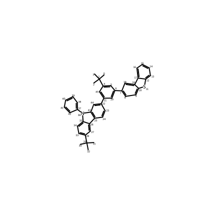 CC(C)(C)c1cc(-c2ccc3sc4ccccc4c3c2)cc(-c2ccc3c4cc(C(C)(C)C)ccc4n(-c4ccccc4)c3c2)c1